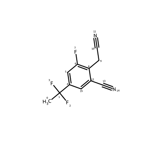 CC(F)(F)c1cc(F)c(CC#N)c(C#N)c1